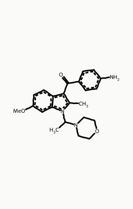 COc1ccc2c(C(=O)c3ccc(N)cc3)c(C)n(C(C)N3CCOCC3)c2c1